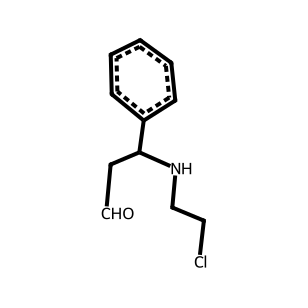 O=CCC(NCCCl)c1ccccc1